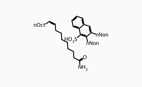 CCCCCCCC/C=C\CCCCCCCC(N)=O.CCCCCCCCCc1cc2ccccc2c(S(=O)(=O)O)c1CCCCCCCCC